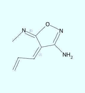 C=C/C=C1/C(N)=NO/C1=N/C